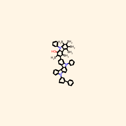 Bc1c(B)c(B)c2c(c1B)c1c(B)c(-c3ccc4c5c6c7ccccc7n(-c7cccc(-c8ccccc8)c7)c6ccc5n(-c5ccccc5)c4c3)c(B)c(O)c1n2-c1ccccc1